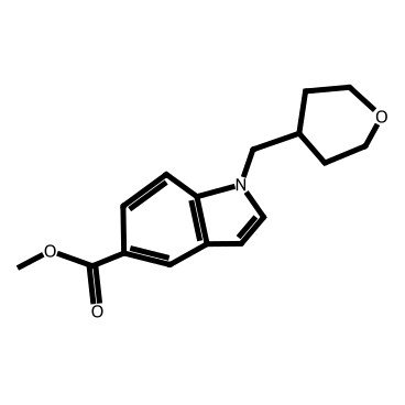 COC(=O)c1ccc2c(ccn2CC2CCOCC2)c1